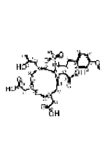 COc1ccc(CCN(C2CN(CC(C)O)CCN(CC(=O)O)CCN(CC(=O)O)CCN2CC(=O)O)S(C)(=O)=O)cc1